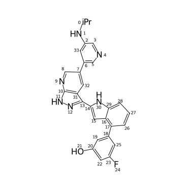 CC(C)Nc1cncc(-c2cnc3[nH]nc(-c4cc5c(-c6cc(O)cc(F)c6)cccc5[nH]4)c3c2)c1